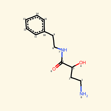 NCCC(O)C(=O)NCCc1ccccc1